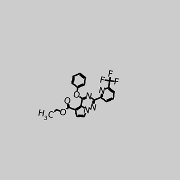 CCOC(=O)c1ccn2nc(-c3cccc(C(F)(F)F)n3)nc(Oc3ccccc3)c12